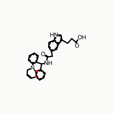 O=C(O)CCc1c[nH]c2ccc(CC(=O)NC(c3ccccc3)c3ccccc3N3CC=CCC3)cc12